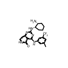 Cc1cc(Nc2nc(N[C@H]3CCCC[C@H]3N)nc3cc[nH]c(=O)c23)cc(C(F)(F)F)c1